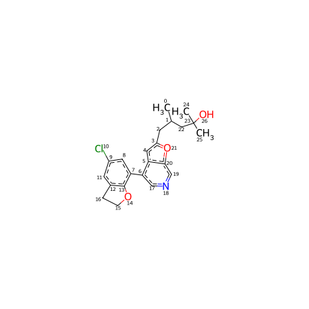 CC(Cc1cc2c(-c3cc(Cl)cc4c3OCC4)cncc2o1)CC(C)(C)O